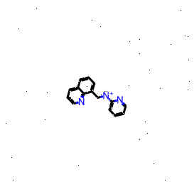 c1ccc([N+]Cc2cccc3cccnc23)nc1